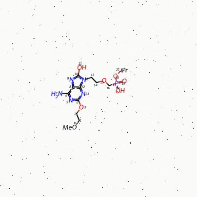 COCCOc1nc(N)c2nc(O)n(CCOCP(=O)(O)OC(C)C)c2n1